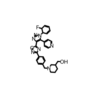 OCC1CCCN(Cc2ccc(-c3noc(-c4nnn(C5C=CC=CC5F)c4-c4ccncc4)n3)cc2)C1